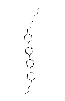 CCCCCCCCC1CCC(c2ccc(-c3ccc(C4CCC(CCCC)CC4)cc3)cc2)CC1